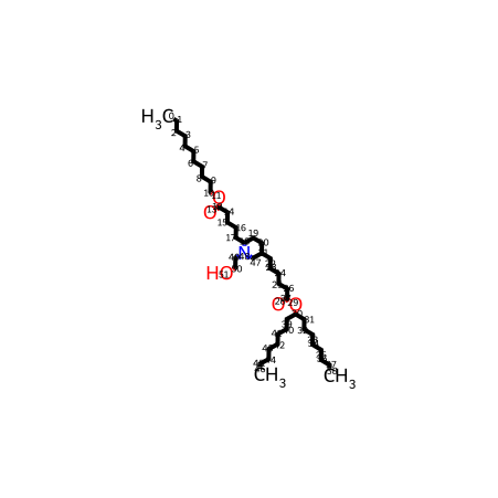 CCCCCCCCCCCOC(=O)CCCCC1CCC(CCCCCC(=O)OC(CCCCCCCC)CCCCCCCC)CN1CCO